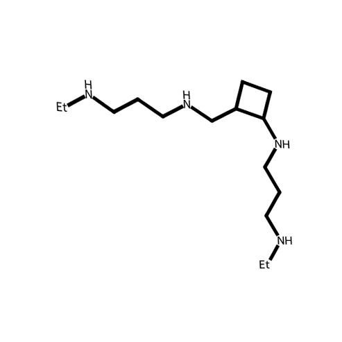 CCNCCCNCC1CCC1NCCCNCC